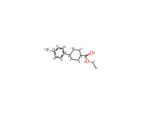 CCOC(=O)C1CCC(c2ccc(F)cc2)CC1